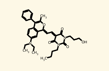 CCCCN1C(=O)C(=CC=C2OC(C)=C(c3ccccc3)c3ccc(N(CC)CC)cc32)C(=O)N(CCCO)C1=O